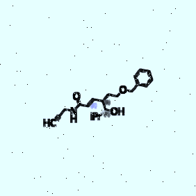 C#CCNC(=O)/C=C/[C@@H](CCOCc1ccccc1)[C@H](O)C(C)C